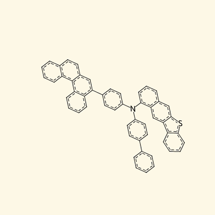 c1ccc(-c2ccc(N(c3ccc(-c4cc5ccc6ccccc6c5c5ccccc45)cc3)c3cccc4cc5sc6ccccc6c5cc34)cc2)cc1